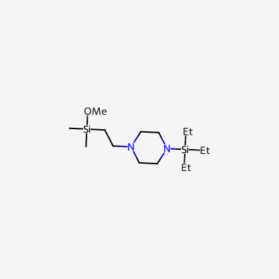 CC[Si](CC)(CC)N1CCN(CC[Si](C)(C)OC)CC1